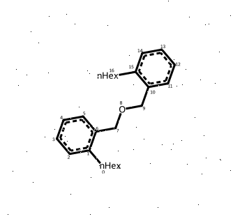 CCCCCCc1ccccc1COCc1ccccc1CCCCCC